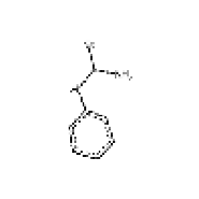 CC[CH](N)[Al][c]1ccccc1